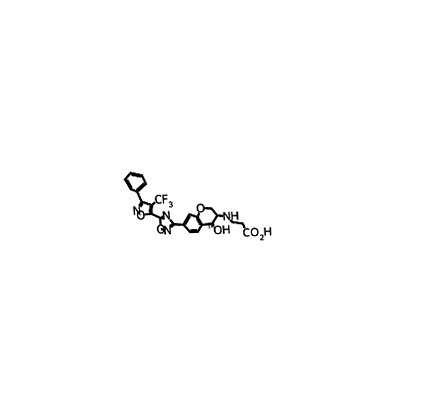 O=C(O)CCNC1COc2cc(-c3noc(-c4onc(-c5ccccc5)c4C(F)(F)F)n3)ccc2[C@@H]1O